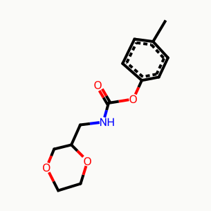 Cc1ccc(OC(=O)NCC2COCCO2)cc1